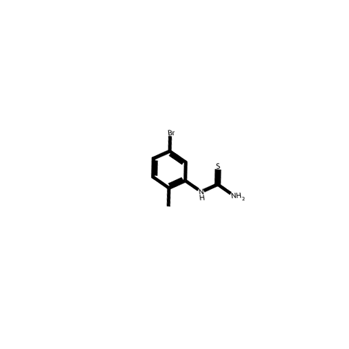 Cc1ccc(Br)cc1NC(N)=S